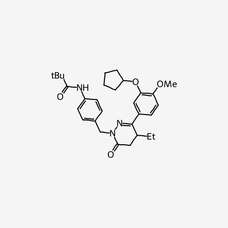 CCC1CC(=O)N(Cc2ccc(NC(=O)C(C)(C)C)cc2)N=C1c1ccc(OC)c(OC2CCCC2)c1